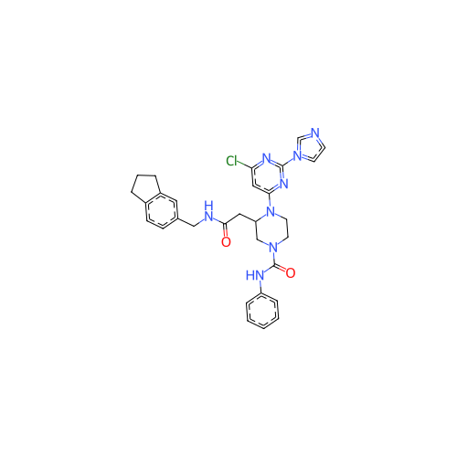 O=C(CC1CN(C(=O)Nc2ccccc2)CCN1c1cc(Cl)nc(-n2ccnc2)n1)NCc1ccc2c(c1)CCC2